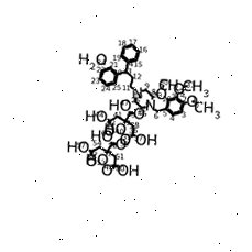 COc1ccc(CN2CCN(CCC(c3ccccc3)c3ccccc3)CC2)c(OC)c1OC.O.O=C(O)CC(O)(CC(=O)O)C(=O)O.O=C(O)CC(O)(CC(=O)O)C(=O)O